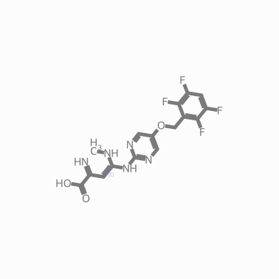 CN/C(=C\C(=N)C(=O)O)Nc1ncc(OCc2c(F)c(F)cc(F)c2F)cn1